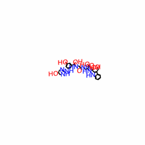 O=C(CNC(O)c1cc(O)cc(NC2=NCC(O)CN2)c1)NCC(NC(O)c1[nH]c2ccccc2c1CO)C(=O)O